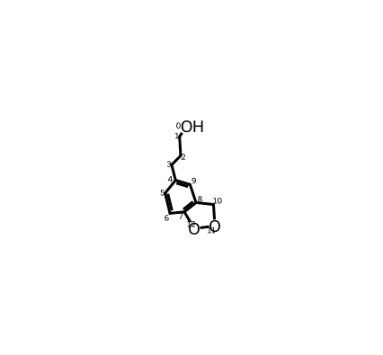 OCCCc1ccc2c(c1)COO2